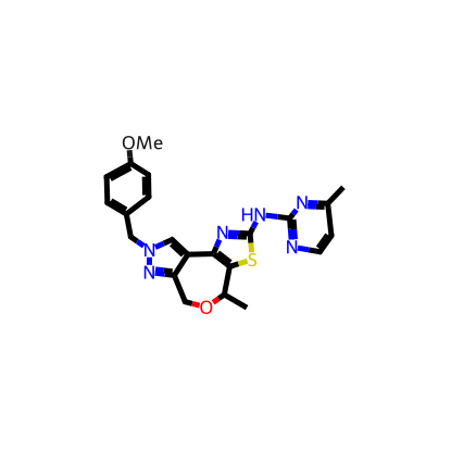 COc1ccc(Cn2cc3c(n2)COC(C)c2sc(Nc4nccc(C)n4)nc2-3)cc1